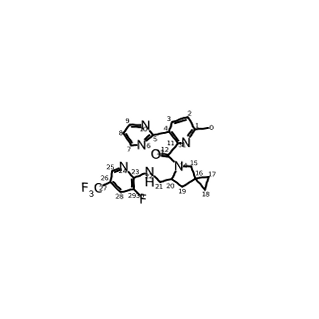 Cc1ccc(-c2ncccn2)c(C(=O)N2CC3(CC3)CC2CNc2ncc(C(F)(F)F)cc2F)n1